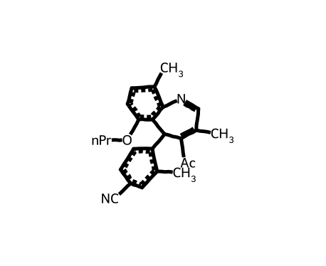 CCCOc1ccc(C)c2c1C(c1ccc(C#N)cc1C)C(C(C)=O)=C(C)C=N2